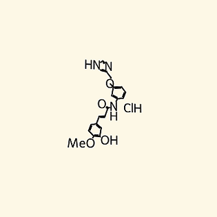 COc1ccc(C=CC(=O)Nc2cccc(OCc3c[nH]cn3)c2)cc1O.Cl